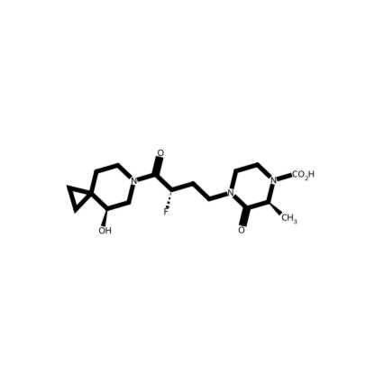 C[C@H]1C(=O)N(CC[C@H](F)C(=O)N2CCC3(CC3)[C@H](O)C2)CCN1C(=O)O